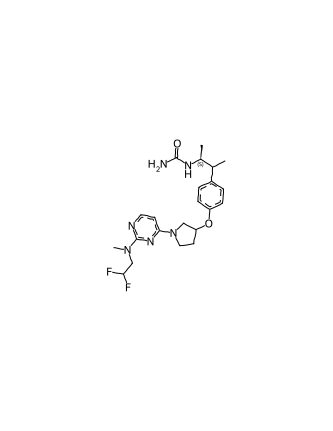 CC(c1ccc(OC2CCN(c3ccnc(N(C)CC(F)F)n3)C2)cc1)[C@H](C)NC(N)=O